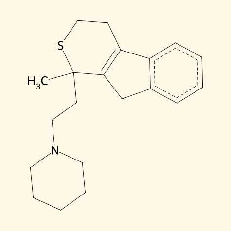 CC1(CCN2CCCCC2)SCCC2=C1Cc1ccccc12